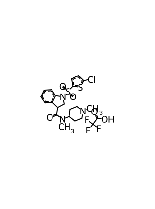 CN1CCC(N(C)C(=O)C2CN(S(=O)(=O)c3ccc(Cl)s3)c3ccccc32)CC1.O=C(O)C(F)(F)F